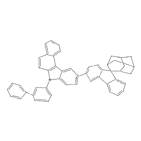 c1ccc(-c2cccc(-n3c4ccc(-c5ccc6c(c5)-c5ccccc5C65C6CC7CC(C6)CC5C7)cc4c4c5ccccc5ccc43)c2)cc1